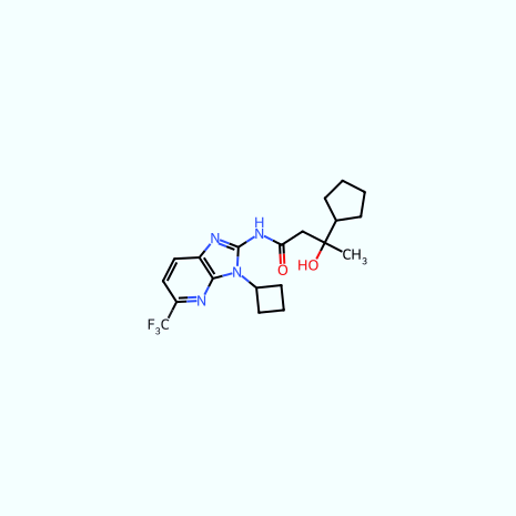 CC(O)(CC(=O)Nc1nc2ccc(C(F)(F)F)nc2n1C1CCC1)C1CCCC1